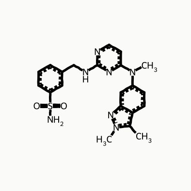 Cc1c2ccc(N(C)c3ccnc(NCc4cccc(S(N)(=O)=O)c4)n3)cc2nn1C